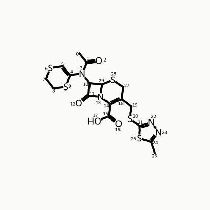 CC(=O)N(C1=CSCCS1)C1C(=O)N2C(C(=O)O)=C(CSc3nnc(C)s3)CSC12